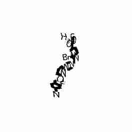 COC(=O)c1ccc2nc(CN3CCN(c4cccc(OCc5ccc(C#N)cc5F)n4)CC3)c(Br)n2c1